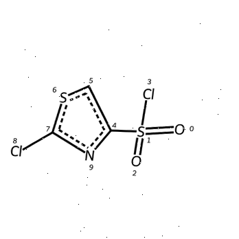 O=S(=O)(Cl)c1csc(Cl)n1